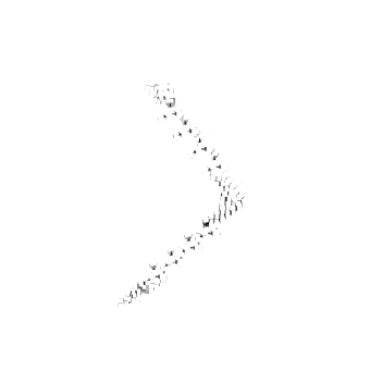 O.O.O.O=[Si]([O-])[O-].O=[Si]([O-])[O-].O=[Si]([O-])[O-].O=[Si]([O-])[O-].O=[Si]([O-])[O-].O=[Si]([O-])[O-].O=[Si]([O-])[O-].O=[Si]([O-])[O-].[Al+3].[Al+3].[Al+3].[Fe+3].[Fe+3].[Fe+3].[Mg+2].[Mg+2].[Mg+2].[OH-].[OH-].[OH-].[OH-].[OH-].[OH-].[OH-].[OH-]